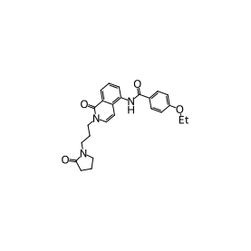 CCOc1ccc(C(=O)Nc2cccc3c(=O)n(CCCN4CCCC4=O)ccc23)cc1